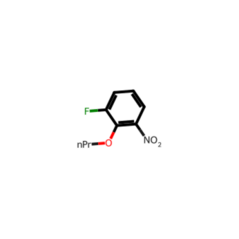 CCCOc1c(F)cccc1[N+](=O)[O-]